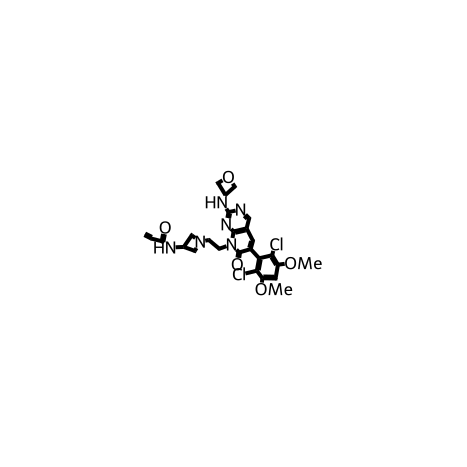 C=CC(=O)NC1CN(CCn2c(=O)c(-c3c(Cl)c(OC)cc(OC)c3Cl)cc3cnc(NC4COC4)nc32)C1